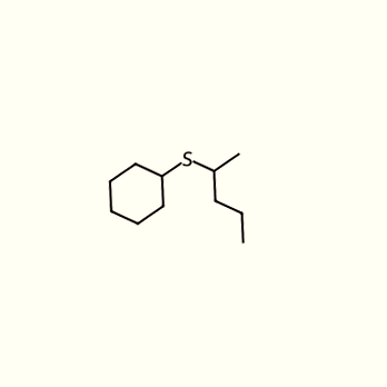 CCCC(C)SC1CCCCC1